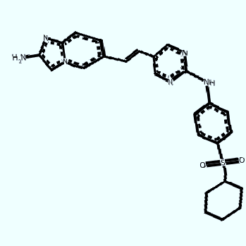 Nc1cn2cc(/C=C/c3cnc(Nc4ccc(S(=O)(=O)C5CCCCC5)cc4)nc3)ccc2n1